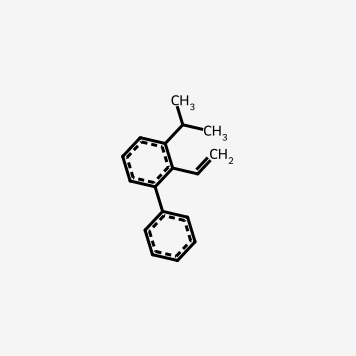 C=Cc1c(-c2ccccc2)cccc1C(C)C